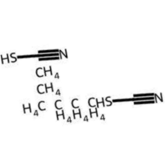 C.C.C.C.C.C.N#CS.N#CS